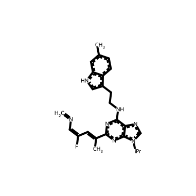 C=N/C=C(F)\C=C(/C)c1nc(NCCc2c[nH]c3cc(C)ccc23)c2ncn(C(C)C)c2n1